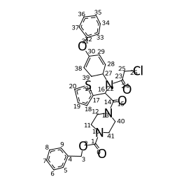 O=C(OCc1ccccc1)N1CCN(C(=O)C(c2cccs2)N(C(=O)CCl)C2C=CC(Oc3ccccc3)=CC2)CC1